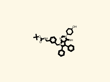 CC(C)(C)OC(=O)NCc1cccc(Cn2c(-c3ccccc3)c(-c3ccccc3)c3c(=N)n([C@H]4CC[C@H](O)CC4)cnc32)c1